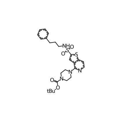 CC(C)(C)OC(=O)N1CCN(c2nccc3sc(S(=O)(=O)NCCCc4ccccc4)cc23)CC1